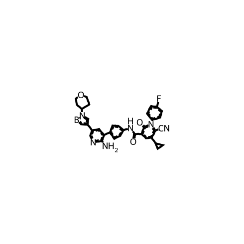 N#Cc1c(C2CC2)cc(C(=O)Nc2ccc(-c3cc(-c4cbn(C5CCOCC5)c4)cnc3N)cc2)c(=O)n1-c1ccc(F)cc1